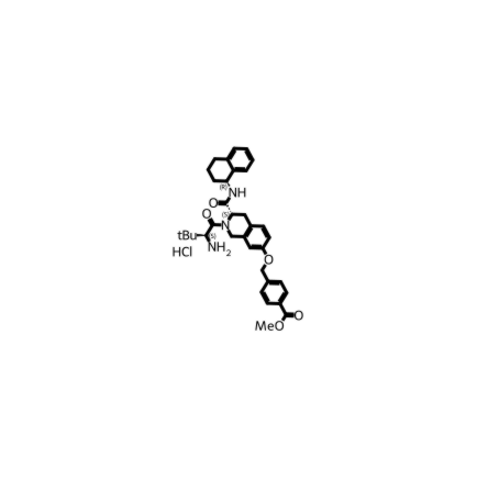 COC(=O)c1ccc(COc2ccc3c(c2)CN(C(=O)[C@@H](N)C(C)(C)C)[C@H](C(=O)N[C@@H]2CCCc4ccccc42)C3)cc1.Cl